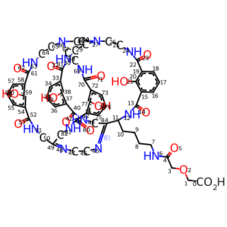 O=C(O)COCC(=O)NCCCCC1NC(=O)c2cccc(c2O)C(=O)NCCN2CCNC(=O)c3cccc(c3O)C(=O)NC/C1=N\CCN=C1CNC(=O)c3cccc(c3O)C(=O)NCCN(CCNC(=O)c3cccc(c3O)C(=O)NC1)CC2